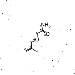 C=C(C)COCC(N)=O